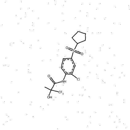 CC(O)(C(=O)Nc1ccc(S(=O)(=O)C2CCCC2)cc1Cl)C(F)(F)F